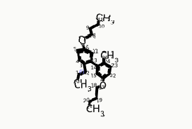 C/C=C/c1ccc(OCCCC)cc1-c1cc(OCCCC)ccc1C